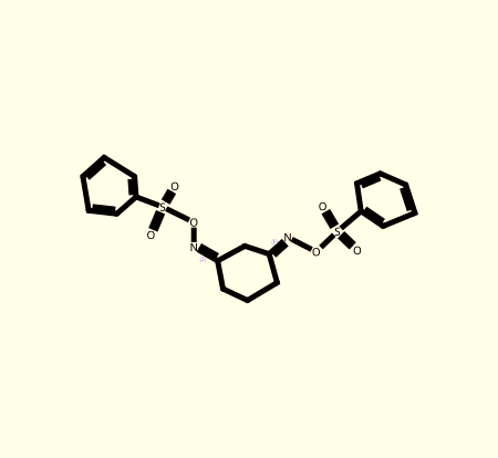 O=S(=O)(O/N=C1/CCC/C(=N\OS(=O)(=O)c2ccccc2)C1)c1ccccc1